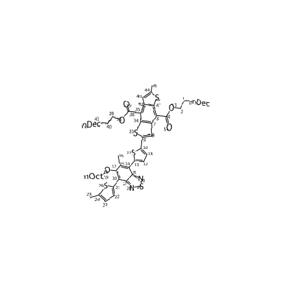 CCCCCCCCCCCCOC(=O)c1c2cc(-c3ccc(-c4c(C)c(OCCCCCCCC)c(-c5ccc(C)s5)c5nsnc45)s3)sc2c(C(=O)OCCCCCCCCCCCC)c2cc(C)sc12